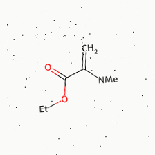 C=C(NC)C(=O)OCC